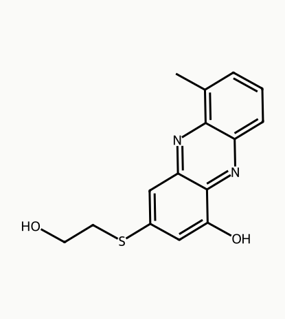 Cc1cccc2nc3c(O)cc(SCCO)cc3nc12